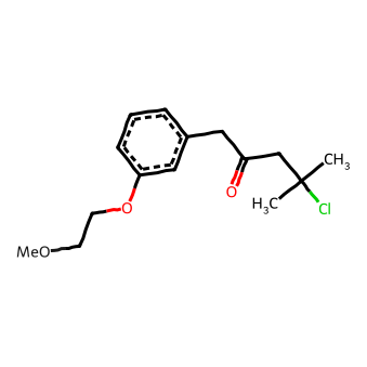 COCCOc1cccc(CC(=O)CC(C)(C)Cl)c1